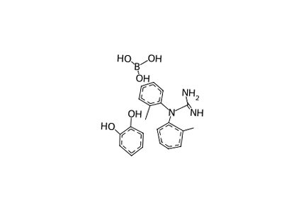 Cc1ccccc1N(C(=N)N)c1ccccc1C.OB(O)O.Oc1ccccc1O